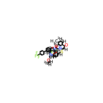 [2H]c1c(C)c([2H])c2c(c1[2H])c(=O)c([2H])c(SC([2H])([2H])c1cccc(F)c1F)n2CC(=O)N(Cc1ccc(-c2ccc(C(F)(F)F)cc2)cc1)C1([2H])C([2H])([2H])C([2H])([2H])N(CCOC([2H])([2H])[2H])C([2H])([2H])C1([2H])[2H]